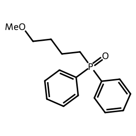 COCCCCP(=O)(c1ccccc1)c1ccccc1